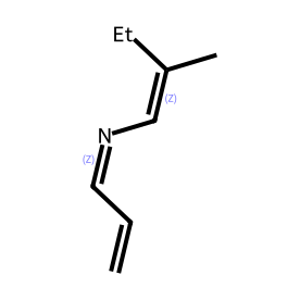 C=C/C=N\C=C(\C)CC